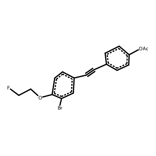 CC(=O)Oc1ccc(C#Cc2ccc(OCCF)c(Br)c2)cc1